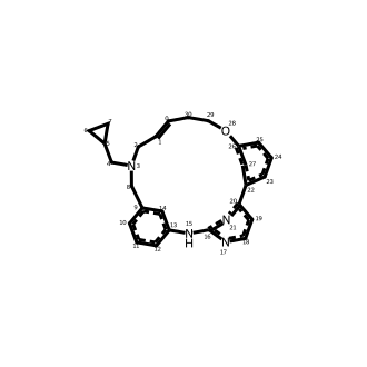 C1=C/CN(CC2CC2)Cc2cccc(c2)Nc2nccc(n2)-c2cccc(c2)OCC/1